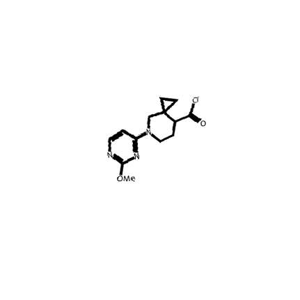 COc1nccc(N2CCC(C(=O)Cl)C3(CC3)C2)n1